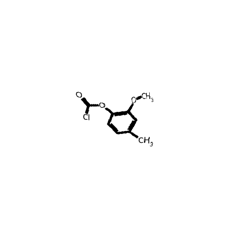 COc1cc(C)ccc1OC(=O)Cl